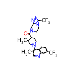 Cc1cnc2cc(C(F)(F)F)ccc2c1N1CCC(C(=O)N2CCn3c(nnc3C(F)(F)F)C2)C(C)C1